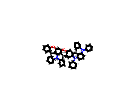 c1ccc(N2c3ccccc3B3c4cc5c(cc4N(c4ccccc4)c4cccc2c43)B2c3ccccc3N3c4ccccc4B4c6ccccc6Oc6cc(c2c3c64)O5)cc1